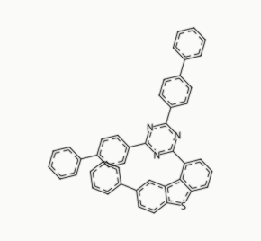 c1ccc(-c2ccc(-c3nc(-c4ccc(-c5ccccc5)cc4)nc(-c4cccc5sc6ccc(-c7ccccc7)cc6c45)n3)cc2)cc1